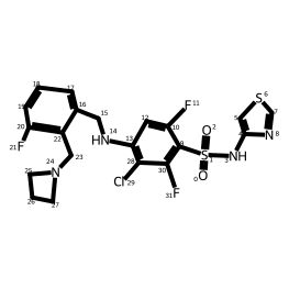 O=S(=O)(Nc1cscn1)c1c(F)cc(NCc2cccc(F)c2CN2CCC2)c(Cl)c1F